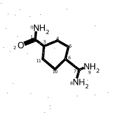 NC(=O)C1CCC(C(N)N)CC1